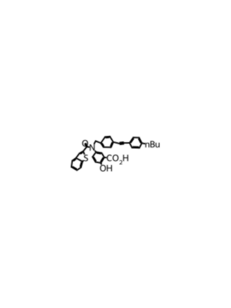 CCCCc1ccc(C#Cc2ccc(CN(C(=O)c3cc4ccccc4s3)c3ccc(O)c(C(=O)O)c3)cc2)cc1